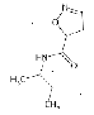 CCC(C)NC(=O)C1CC=NO1